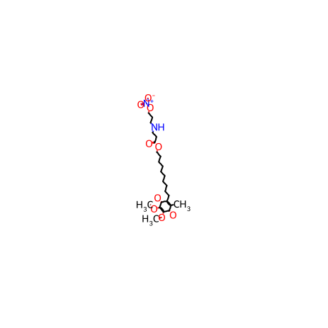 COC1=C(OC)C(=O)C(CCCCCCCCCCOC(=O)CCNCCCO[N+](=O)[O-])=C(C)C1=O